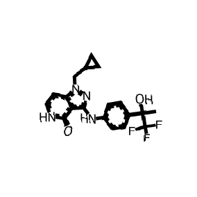 CC(O)(c1ccc(Nc2nn(CC3CC3)c3cc[nH]c(=O)c23)cc1)C(F)(F)F